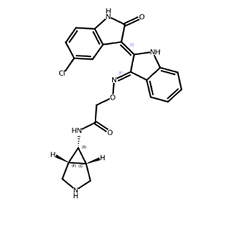 O=C(CO/N=C1/C(=C2/C(=O)Nc3ccc(Cl)cc32)Nc2ccccc21)N[C@@H]1[C@@H]2CNC[C@@H]21